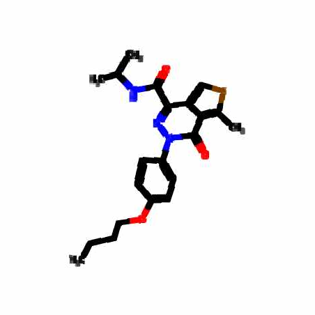 CCCCOc1ccc(-n2nc(C(=O)NC(C)C)c3csc(C)c3c2=O)cc1